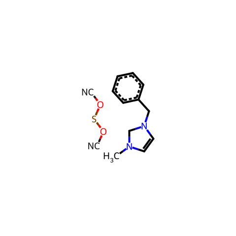 CN1C=CN(Cc2ccccc2)C1.N#COSOC#N